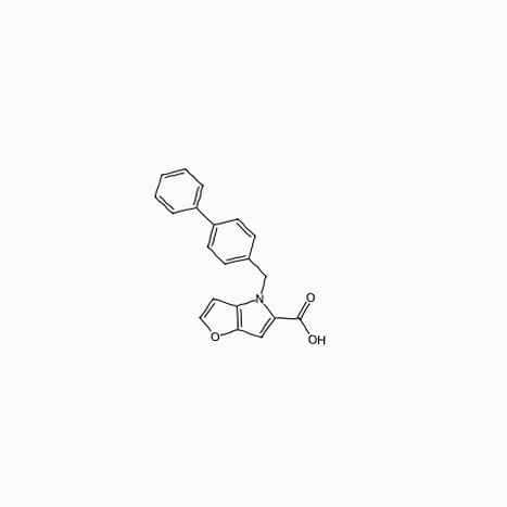 O=C(O)c1cc2occc2n1Cc1ccc(-c2ccccc2)cc1